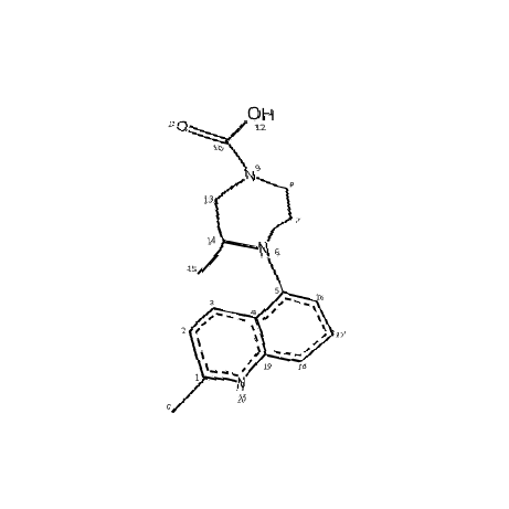 Cc1ccc2c(N3CCN(C(=O)O)CC3C)cccc2n1